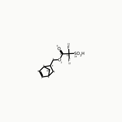 O=C(OCC1CC2C=CC1C2)C(F)(F)S(=O)(=O)O